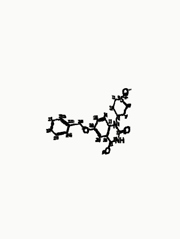 O=c1[nH]c(=O)n(C2CC[S+]([O-])CC2)c2ccc(OCc3ccccc3)cc12